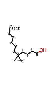 CCCCCCCCCCCCCC1(CCCCO)CC1